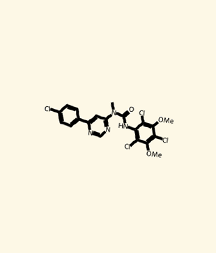 COc1c(Cl)c(NC(=O)N(C)c2cc(-c3ccc(Cl)cc3)ncn2)c(Cl)c(OC)c1Cl